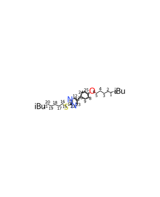 CC[C@H](C)CCCCCOc1ccc(-c2cnc(SCCCCC[C@@H](C)CC)nc2)cc1